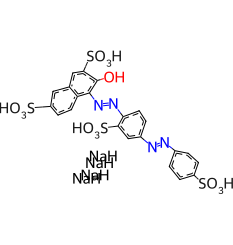 O=S(=O)(O)c1ccc(/N=N/c2ccc(/N=N/c3c(O)c(S(=O)(=O)O)cc4cc(S(=O)(=O)O)ccc34)c(S(=O)(=O)O)c2)cc1.[NaH].[NaH].[NaH].[NaH]